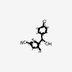 N#Cc1cc(I)c(C(O)c2ccc(Cl)cc2)s1